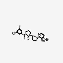 O=C1[C@@H](Nc2cc(F)cc(Cl)c2)CCCN1[C@@H]1CCCN(c2ncnc3[nH]ccc23)C1